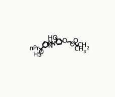 C=C(C)C(=O)OCCOc1ccc(-n2n3c4ccc(C(CCC)OS)cc4n23)c(O)c1